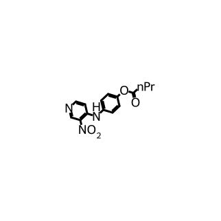 CCCC(=O)Oc1ccc(Nc2ccncc2[N+](=O)[O-])cc1